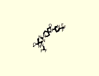 COc1nn(CC(F)F)c2nc(N3CCC4(CC3)CC(=O)N(c3ccc(C(F)(F)F)nc3)C4)ncc12